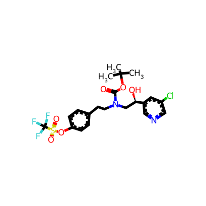 CC(C)(C)OC(=O)N(CCc1ccc(OS(=O)(=O)C(F)(F)F)cc1)C[C@@H](O)c1cncc(Cl)c1